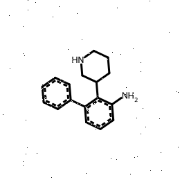 Nc1cccc(-c2ccccc2)c1C1CCCNC1